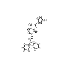 O=C(N[C@@H](CCc1nn[nH]n1)C(=O)O)OCC1c2ccccc2-c2ccccc21